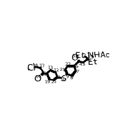 CCC(CC)(CC(=O)c1ccc(Sc2ccc(C(=O)CCl)cc2)cc1)NC(C)=O